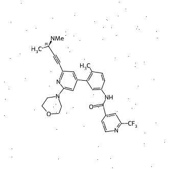 CN[C@H](C)C#Cc1cc(-c2cc(NC(=O)c3ccnc(C(F)(F)F)c3)ccc2C)cc(N2CCOCC2)n1